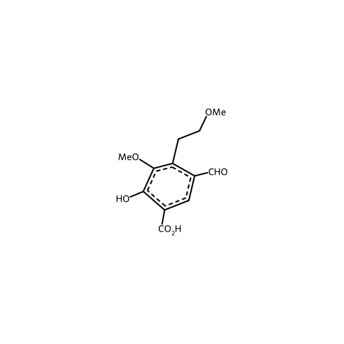 COCCc1c(C=O)cc(C(=O)O)c(O)c1OC